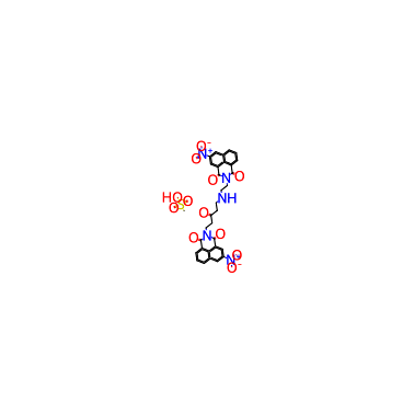 CS(=O)(=O)O.O=C(CCNCCN1C(=O)c2cccc3cc([N+](=O)[O-])cc(c23)C1=O)CCN1C(=O)c2cccc3cc([N+](=O)[O-])cc(c23)C1=O